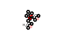 CC1(C)c2ccccc2Oc2cccc(-c3cccc4c(-c5cccc6c5C5(c7ccccc7-c7ccccc75)c5ccccc5-6)c5cccc(-c6cccc7c6C(C)(C)c6ccccc6O7)c5cc34)c21